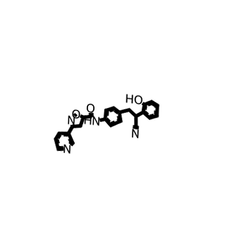 N#CC(Cc1ccc(NC(=O)C2CC(c3cccnc3)=NO2)cc1)c1ccccc1O